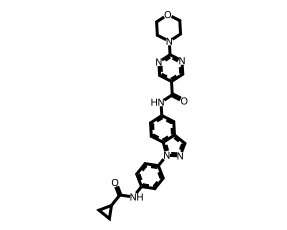 O=C(Nc1ccc2c(cnn2-c2ccc(NC(=O)C3CC3)cc2)c1)c1cnc(N2CCOCC2)nc1